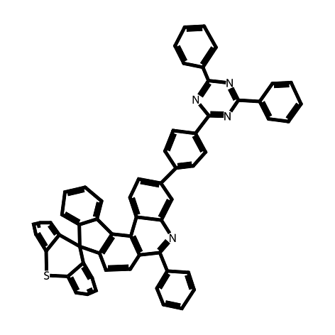 c1ccc(-c2nc(-c3ccccc3)nc(-c3ccc(-c4ccc5c(c4)nc(-c4ccccc4)c4ccc6c(c45)-c4ccccc4C64c5ccccc5Sc5ccccc54)cc3)n2)cc1